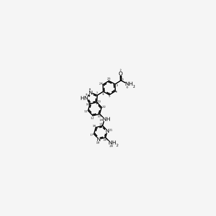 NC(=O)c1ccc(-c2n[nH]c3ccc(Nc4ccnc(N)n4)cc23)cc1